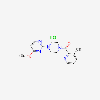 CCCCOc1ccnc(N2CCN(C(=O)c3ncccc3C#N)CC2)n1.Cl